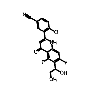 N#Cc1ccc(Cl)c(-c2cc(=O)c3c(F)c(C(O)CO)c(F)cc3[nH]2)c1